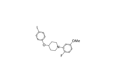 COc1ccc(F)c(N2CCC(Oc3ccc(I)cc3)CC2)c1